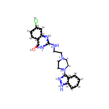 O=c1[nH]c(NCCN2CCN(c3n[nH]c4ccccc34)CC2)nc2cc(Cl)ccc12